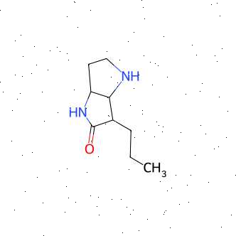 CCCC1C(=O)NC2CCNC21